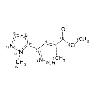 C/N=C(\C=C(/C)C(=O)OC)c1ccnn1C